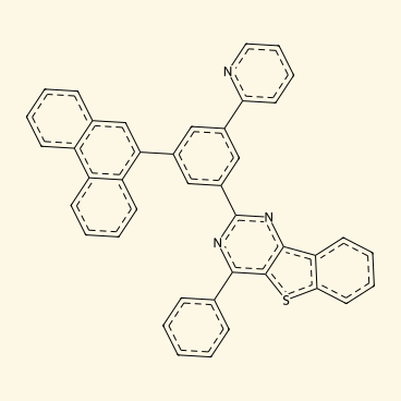 c1ccc(-c2nc(-c3cc(-c4ccccn4)cc(-c4cc5ccccc5c5ccccc45)c3)nc3c2sc2ccccc23)cc1